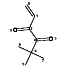 C=CC(=O)C(=O)C(C)(C)C